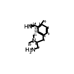 Cc1ccc(CC(CN)N(C)C)cc1C=N